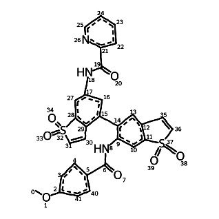 COc1ccc(C(=O)Nc2cc3c(cc2-c2cc(NC(=O)c4ccccn4)cc4c2C=CS4(=O)=O)C=CS3(=O)=O)cc1